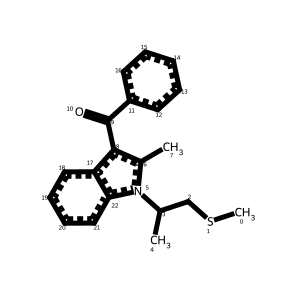 CSCC(C)n1c(C)c(C(=O)c2ccccc2)c2ccccc21